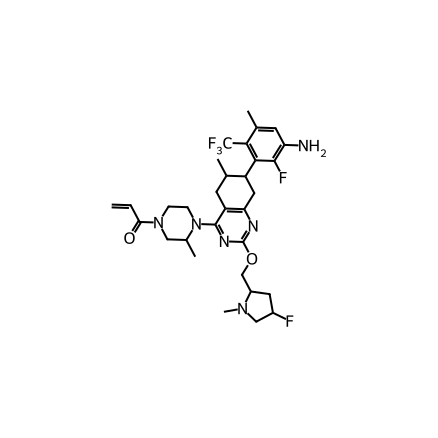 C=CC(=O)N1CCN(c2nc(OCC3CC(F)CN3C)nc3c2CC(C)C(c2c(F)c(N)cc(C)c2C(F)(F)F)C3)C(C)C1